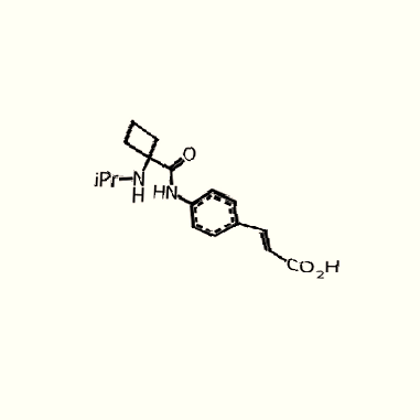 CC(C)NC1(C(=O)Nc2ccc(/C=C/C(=O)O)cc2)CCC1